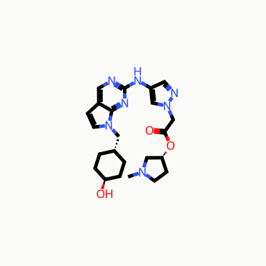 CN1CC[C@@H](OC(=O)Cn2cc(Nc3ncc4ccn(C[C@H]5CC[C@H](O)CC5)c4n3)cn2)C1